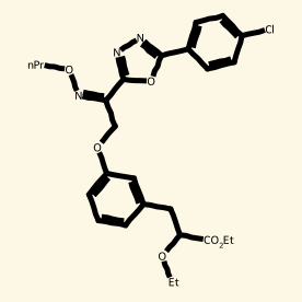 CCCON=C(COc1cccc(CC(OCC)C(=O)OCC)c1)c1nnc(-c2ccc(Cl)cc2)o1